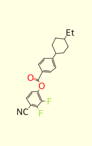 CCC1CCC(c2ccc(C(=O)Oc3ccc(C#N)c(F)c3F)cc2)CC1